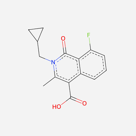 Cc1c(C(=O)O)c2cccc(F)c2c(=O)n1CC1CC1